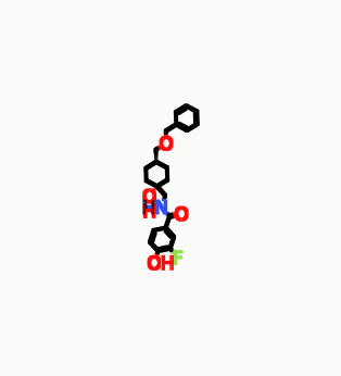 O=C(NC[C@]1(O)CC[C@H](COCc2ccccc2)CC1)c1ccc(O)c(F)c1